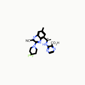 Cc1cc([C@@H](C)Nc2nccnc2C(=O)O)c2nc(N3CCC(F)(F)CC3)c(C#N)nc2c1